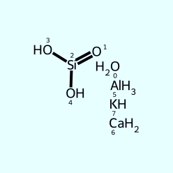 O.O=[Si](O)O.[AlH3].[CaH2].[KH]